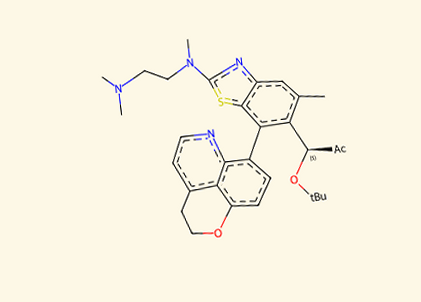 CC(=O)[C@@H](OC(C)(C)C)c1c(C)cc2nc(N(C)CCN(C)C)sc2c1-c1ccc2c3c(ccnc13)CCO2